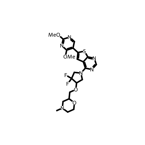 COc1ncc(-c2cc3c(N4CC(OCC5CN(C)CCO5)C(F)(F)C4)ncnc3s2)c(OC)n1